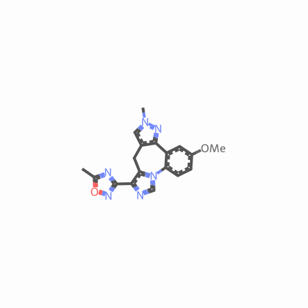 COc1ccc2c(c1)-c1nn(C)cc1Cc1c(-c3noc(C)n3)ncn1-2